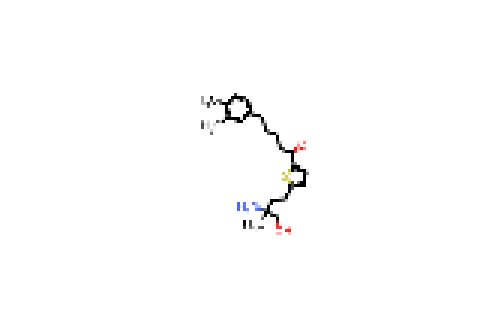 Cc1ccc(CCCCC(=O)c2ccc(CCC(C)(N)CO)s2)cc1C